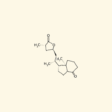 C[C@H](C[C@H]1C[C@H](C)C(=O)O1)[C@H]1CCC2C(=O)CCC[C@@]21C